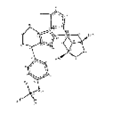 Cc1cc(N2C[C@H]3CC[C@@H](C2)C3Nc2nc3n(n2)CCCC3c2ccc(SC(F)(F)F)cc2)sn1